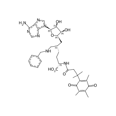 CC1=C(C)C(=O)C(C(C)(C)CC(=O)N[C@@H](CC[C@H](CNCc2ccccc2)C[C@H]2O[C@@H](n3cnc4c(N)ncnc43)[C@@H](O)[C@H]2O)C(=O)O)=C(C)C1=O